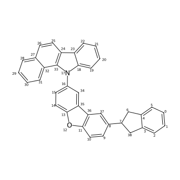 c1ccc2c(c1)CC(c1ccc3oc4ccc(-n5c6ccccc6c6ccc7ccccc7c65)cc4c3c1)C2